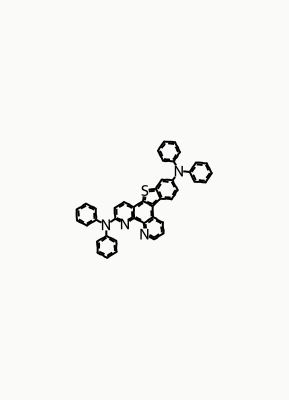 c1ccc(N(c2ccccc2)c2ccc3c(c2)sc2c4ccc(N(c5ccccc5)c5ccccc5)nc4c4ncccc4c32)cc1